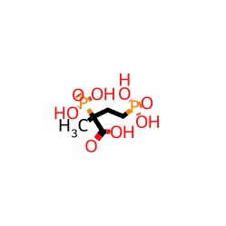 CC(CCP(=O)(O)O)(C(=O)O)P(=O)(O)O